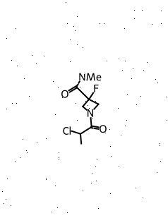 CNC(=O)C1(F)CN(C(=O)C(C)Cl)C1